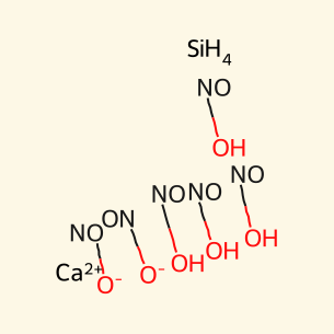 O=NO.O=NO.O=NO.O=NO.O=N[O-].O=N[O-].[Ca+2].[SiH4]